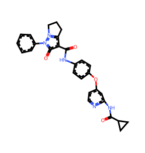 O=C(Nc1ccc(Oc2ccnc(NC(=O)C3CC3)c2)cc1)c1c2n(n(-c3ccccc3)c1=O)CCC2